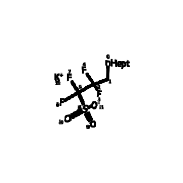 CCCCCCCCC(F)(F)C(F)(F)S(=O)(=O)[O-].[K+]